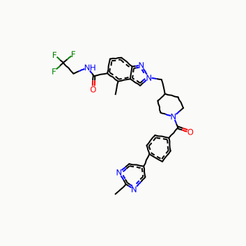 Cc1ncc(-c2ccc(C(=O)N3CCC(Cn4cc5c(C)c(C(=O)NCC(F)(F)F)ccc5n4)CC3)cc2)cn1